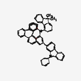 CC1(C)c2ccccc2-c2c(N(c3cccc(-c4ccc5c6ccccc6n(-c6ccccc6)c5c4)c3)c3ccccc3-c3ccccc3-c3ccccc3-c3ccccc3)cccc21